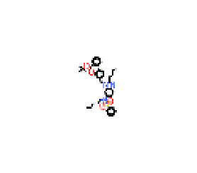 CCCCCN(c1ccc2nc(CCCC)n(Cc3ccc(-c4ccccc4C(=O)OC(C)(C)C)cc3)c2c1)S(=O)(=O)c1ccccc1